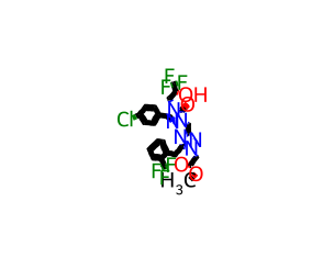 COC(=O)Cn1nc(Cn2nc(-c3ccc(Cl)cc3)n(CC(O)C(F)(F)F)c2=O)nc1Cc1ccccc1C(F)(F)F